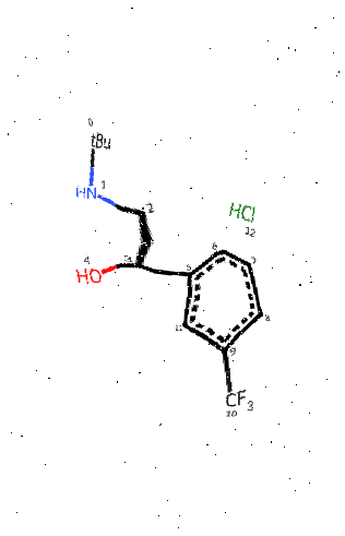 CC(C)(C)NCC(O)c1cccc(C(F)(F)F)c1.Cl